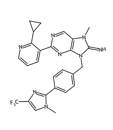 Cn1cc(C(F)(F)F)nc1-c1ccc(Cn2c(=N)n(C)c3cnc(-c4cccnc4C4CC4)nc32)cc1